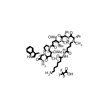 CC[C@H](C)[C@@H]([C@@H](CC(=O)N1CCC[C@H]1[C@H](OC)[C@@H](C)C(=O)N[C@@H](Cc1c[nH]c2ccccc12)C(N)=O)OC)N(C)C(=O)[C@@H](NC(=O)[C@H](C(C)C)N(C)CCCC(=O)NNC(=O)CCCCCN)C(C)C.O=C(O)C(F)(F)F